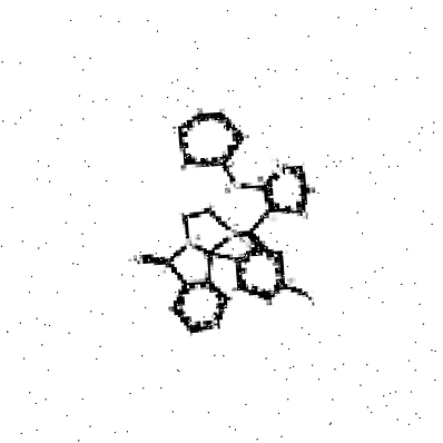 O=C1c2ccncc2C2(c3ccc(Cl)cc3)N1CCN2C(=O)c1cccnc1Sc1ccccc1